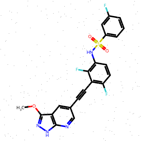 COc1n[nH]c2ncc(C#Cc3c(F)ccc(NS(=O)(=O)c4cccc(F)c4)c3F)cc12